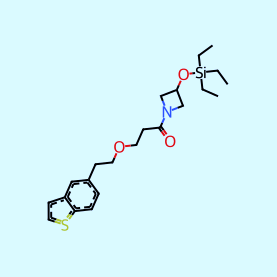 CC[Si](CC)(CC)OC1CN(C(=O)CCOCCc2ccc3sccc3c2)C1